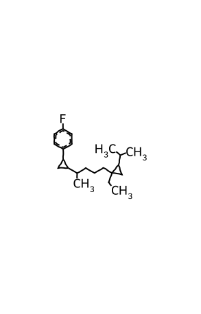 CCC1(CCCC(C)C2CC2c2ccc(F)cc2)CC1C(C)C